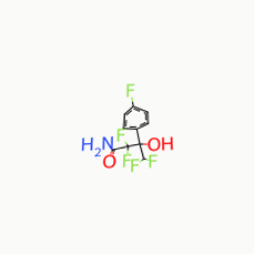 NC(=O)C(F)(F)C(O)(c1ccc(F)cc1)C(F)F